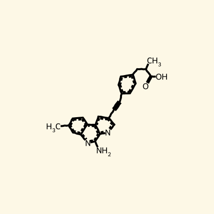 Cc1ccc2c(c1)nc(N)c1ncc(C#Cc3ccc(CC(C)C(=O)O)cc3)cc12